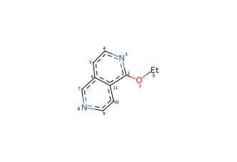 CCOc1nccc2cnccc12